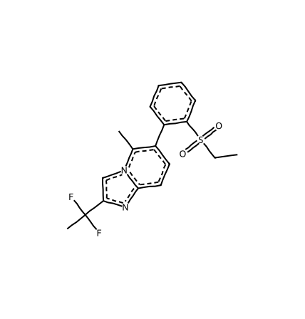 CCS(=O)(=O)c1ccccc1-c1ccc2nc(C(C)(F)F)cn2c1C